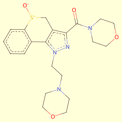 O=C(c1nn(CCN2CCOCC2)c2c1C[S+]([O-])c1ccccc1-2)N1CCOCC1